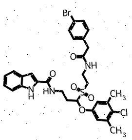 Cc1cc(OC(CCNC(=O)c2cc3ccccc3[nH]2)S(=O)(=O)CCNC(=O)Cc2ccc(Br)cc2)cc(C)c1Cl